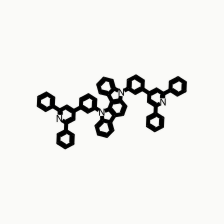 c1ccc(-c2cc(-c3cccc(-n4c5ccccc5c5c4ccc4c6ccccc6n(-c6cccc(-c7cc(-c8ccccc8)nc(-c8ccccc8)c7)c6)c45)c3)cc(-c3ccccc3)n2)cc1